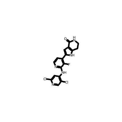 O=C1NCCc2[nH]c(-c3ccnc(Nc4cc(Cl)ncc4Cl)c3F)cc21